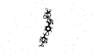 CSc1ncc(COc2ccc(-c3cn(C(=O)OC(C)(C)C)cn3)cc2)cn1